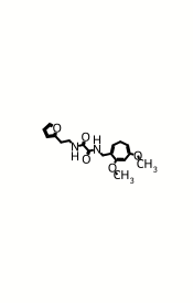 COC1=CCC=C(CNC(=O)C(=O)NCCc2ccco2)C(OC)=C1